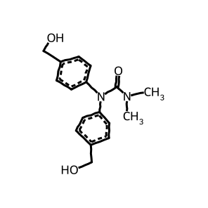 CN(C)C(=O)N(c1ccc(CO)cc1)c1ccc(CO)cc1